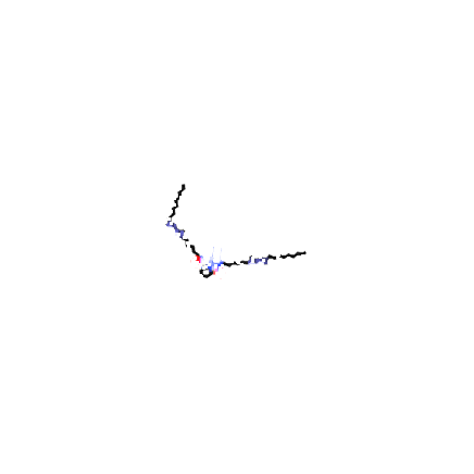 CCCCCCCCC/C(C)=C/C=C(\C)CCCCCCC(=O)N[C@H]1CCCC[C@@H]1NC(=O)CCCCCC/C(C)=C/C=C(\C)CCCCCCCCC